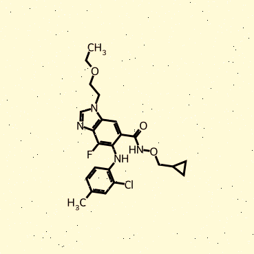 CCOCCn1cnc2c(F)c(Nc3ccc(C)cc3Cl)c(C(=O)NOCC3CC3)cc21